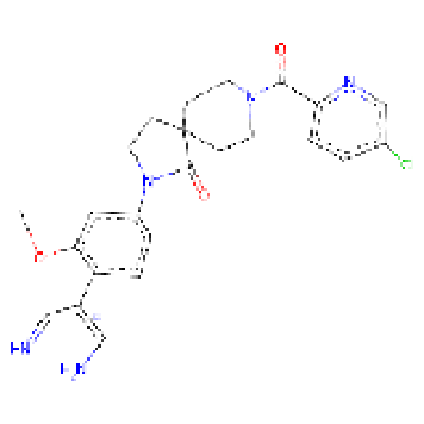 COc1cc(N2CCC3(CCN(C(=O)c4ccc(Cl)cn4)CC3)C2=O)ccc1/C(C=N)=C/N